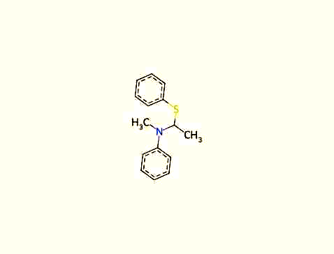 CC(Sc1ccccc1)N(C)c1ccccc1